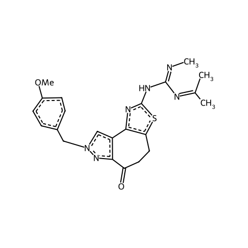 C/N=C(\N=C(C)C)Nc1nc2c(s1)CCC(=O)c1nn(Cc3ccc(OC)cc3)cc1-2